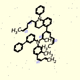 C=C/C=C\c1ccc(N(/C(C)=C/C(=CC/C=C\C)c2cccc3c2CC=C(/C=C\C=C/C)N3c2ccccc2)c2cccc(-c3ccccc3)c2)cc1C